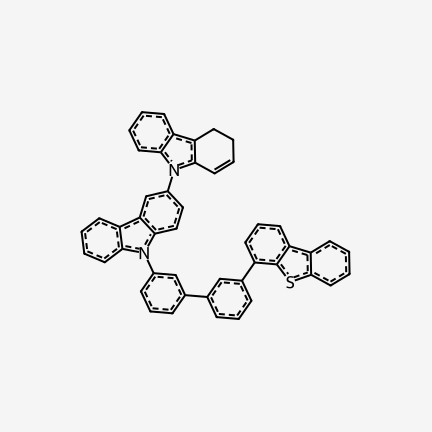 C1=Cc2c(c3ccccc3n2-c2ccc3c(c2)c2ccccc2n3-c2cccc(-c3cccc(-c4cccc5c4sc4ccccc45)c3)c2)CC1